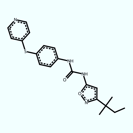 CCC(C)(C)c1cc(NC(=O)Nc2ccc(Sc3ccncc3)cc2)on1